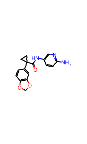 Nc1ccc(NC(=O)C2(c3ccc4c(c3)OCO4)CC2)cn1